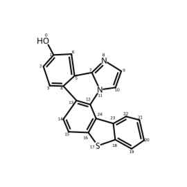 Oc1ccc2c(c1)c1nccn1c1c2ccc2sc3ccccc3c21